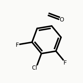 C=O.Fc1cccc(F)c1Cl